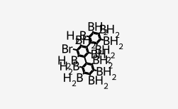 Bc1c(B)c(B)c(-c2c(B)c(Br)c(B)c(-c3c(B)c(B)c(B)c(B)c3B)c2B)c(B)c1B